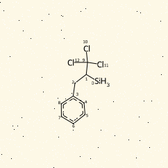 [SiH3]C(Cc1ccccc1)C(Cl)(Cl)Cl